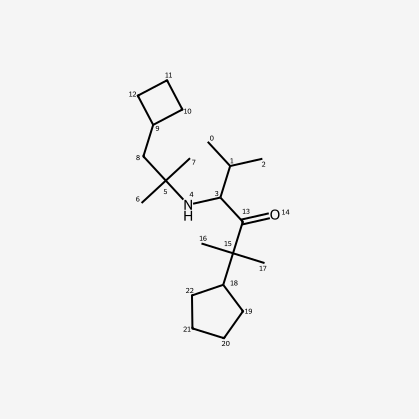 CC(C)C(NC(C)(C)CC1CCC1)C(=O)C(C)(C)C1CCCC1